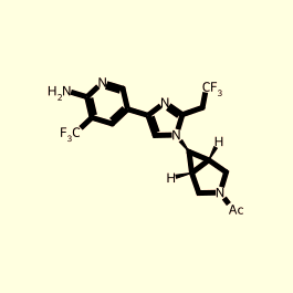 CC(=O)N1C[C@@H]2[C@H](C1)[C@H]2n1cc(-c2cnc(N)c(C(F)(F)F)c2)nc1CC(F)(F)F